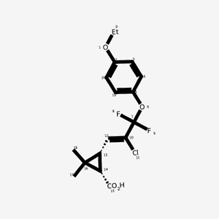 CCOc1ccc(OC(F)(F)C(Cl)=C[C@@H]2[C@H](C(=O)O)C2(C)C)cc1